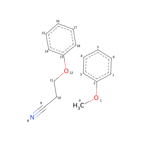 COc1ccccc1.N#CCCOc1ccccc1